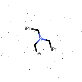 CC(C)CN(CC(C)C)CC(C)C